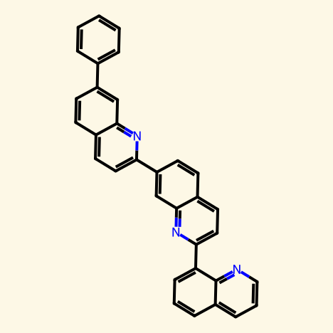 c1ccc(-c2ccc3ccc(-c4ccc5ccc(-c6cccc7cccnc67)nc5c4)nc3c2)cc1